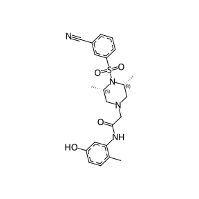 Cc1ccc(O)cc1NC(=O)CN1C[C@@H](C)N(S(=O)(=O)c2cccc(C#N)c2)[C@@H](C)C1